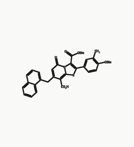 COC(=O)c1c(-c2ccc(OC)c(C)c2)sc2c(C(=O)O)c(Cc3cccc4ccccc34)cc(=O)n12